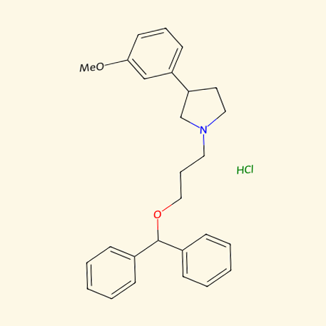 COc1cccc(C2CCN(CCCOC(c3ccccc3)c3ccccc3)C2)c1.Cl